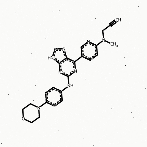 C#CCN(C)c1ccc(-c2nc(Nc3ccc(N4CCOCC4)cc3)nc3[nH]cnc23)cn1